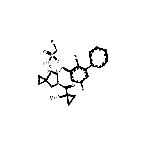 COC1(C(=O)N2CC3(CC3)[C@H](NS(=O)(=O)CF)[C@@H]2Cc2cc(F)cc(-c3ccccc3)c2F)CC1